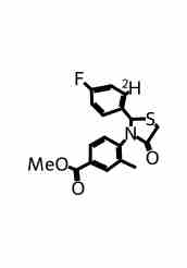 [2H]c1cc(F)ccc1C1SCC(=O)N1c1ccc(C(=O)OC)cc1C